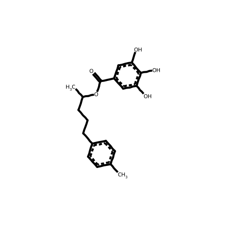 Cc1ccc(CCCC(C)OC(=O)c2cc(O)c(O)c(O)c2)cc1